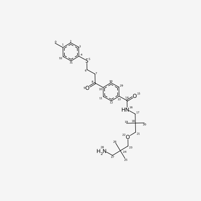 Cc1ccc(SCCC(=O)c2ccc(C(=O)NCC(C)(C)COCC(C)(C)CN)cc2)cc1